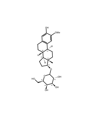 COc1cc2c(cc1O)CC[C@@H]1[C@@H]2CC[C@]2(C)[C@@H](OC3O[C@H](CO)[C@H](O)[C@H](O)[C@H]3O)CC[C@@H]12